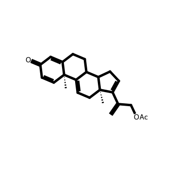 C=C(COC(C)=O)C1=CCC2C3CCC4=CC(=O)C=C[C@]4(C)C3=CC[C@]12C